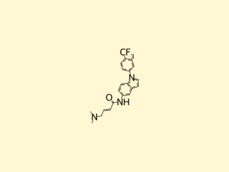 CN(C)C/C=C/C(=O)Nc1ccc2c(ccn2-c2ccc(C(F)(F)F)cc2)c1